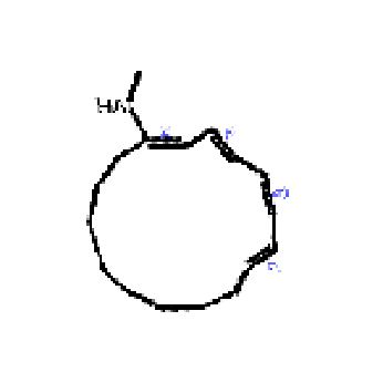 [CH3][AlH]\[C]1=C/C=C/C=C\C=C\CCCCCCCC1